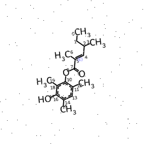 CCC(C)/C=C(\C)C(=O)Oc1c(C)cc(C)c(O)c1C